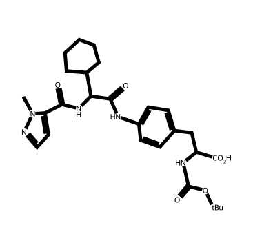 Cn1nccc1C(=O)NC(C(=O)Nc1ccc(CC(NC(=O)OC(C)(C)C)C(=O)O)cc1)C1CCCCC1